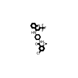 COc1ccc(Cl)cc1C(=O)N[C@H]1CC[C@@H](Nc2cc(C(F)(F)F)nc3ccccc23)CC1